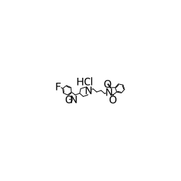 Cl.O=C1c2ccccc2C(=O)N1CCCCN1CCC(c2noc3cc(F)ccc23)CC1